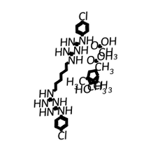 CC(=O)O.CC(=O)O.CC1(C)C2CCC1(C)C(O)C2.N=C(NCCCCCCNC(=N)NC(=N)Nc1ccc(Cl)cc1)NC(=N)Nc1ccc(Cl)cc1